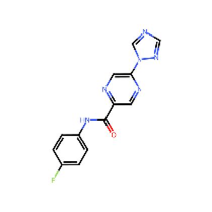 O=C(Nc1ccc(F)cc1)c1cnc(-n2cncn2)cn1